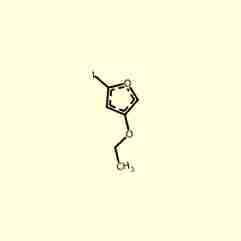 CCOc1coc(I)c1